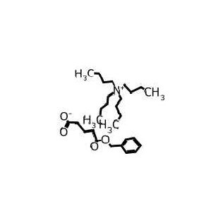 CCCC[N+](CCCC)(CCCC)CCCC.O=C([O-])CCCC(=O)OCc1ccccc1